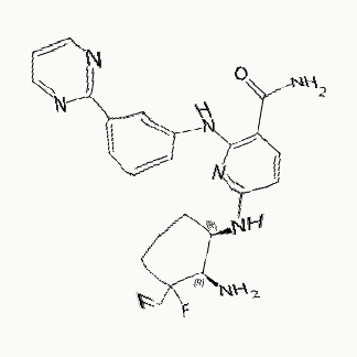 NC(=O)c1ccc(N[C@@H]2CCCC(F)(F)[C@@H]2N)nc1Nc1cccc(-c2ncccn2)c1